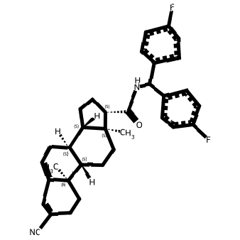 C[C@]12CC[C@H]3[C@@H](CC=C4C=C(C#N)CC[C@@]43C)[C@@H]1CC[C@@H]2C(=O)NC(c1ccc(F)cc1)c1ccc(F)cc1